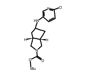 CC(C)(C)OC(=O)N1C[C@H]2CC(Nc3ccc(Cl)nc3)C[C@H]2C1